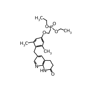 CCOP(=O)(COc1cc(C)c(Cc2cnc3c(c2)CCC(=O)N3)c(C)c1)OCC